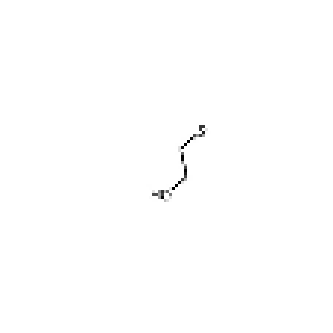 OCC[S]